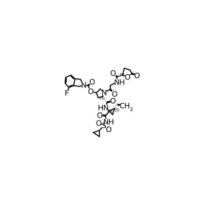 C=C[C@@H]1C[C@]1(NC(=O)[C@@H]1CC(OC(=O)N2Cc3cccc(F)c3C2)CN1C(=O)CNC(=O)[C@H]1CCC(=O)O1)C(=O)NS(=O)(=O)C1CC1